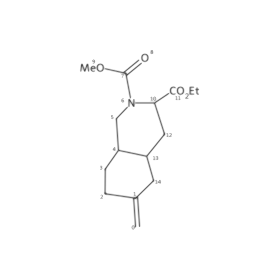 C=C1CCC2CN(C(=O)OC)C(C(=O)OCC)CC2C1